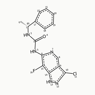 C[C@@H](NC(=O)Nc1ncc2c(Cl)n[nH]c2c1F)c1ccccc1